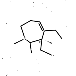 CCC1=CCCN(C)C(C)[C@]1(C)CC